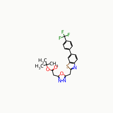 CC(C)(C)OC(=O)Cc1nnc(Cc2nc3ccc(-c4ccc(C(F)(F)F)cc4)cc3s2)o1